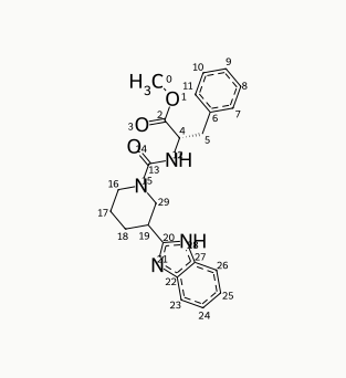 COC(=O)[C@H](Cc1ccccc1)NC(=O)N1CCCC(c2nc3ccccc3[nH]2)C1